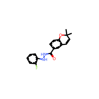 CC1(C)C=Cc2cc(C(=O)NNc3ccccc3F)ccc2O1